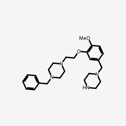 COc1ccc(CN2CCNCC2)cc1OCCN1CCN(Cc2ccccc2)CC1